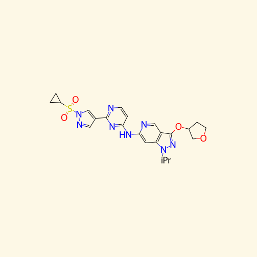 CC(C)n1nc(OC2CCOC2)c2cnc(Nc3ccnc(-c4cnn(S(=O)(=O)C5CC5)c4)n3)cc21